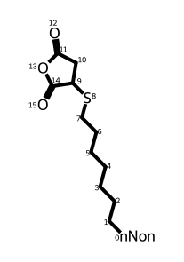 CCCCCCCCCCCCCCCCSC1CC(=O)OC1=O